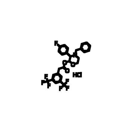 Cl.O=C(Cc1cc(C(F)(F)F)cc(C(F)(F)F)c1)OC1OCCN(Cc2ccccc2)C1c1ccc(F)cc1